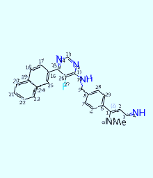 CN/C(=C\C=N)c1ccc(CNc2ncnc(-c3ccc4ccccc4c3)c2F)cc1